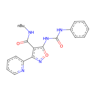 CCCCNC(=O)c1c(-c2ccccn2)noc1NC(=O)Nc1ccccc1